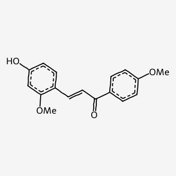 COc1ccc(C(=O)/C=C/c2ccc(O)cc2OC)cc1